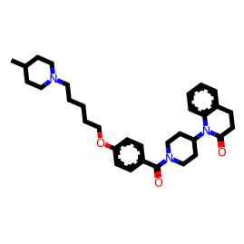 CC1CCN(CCCCCOc2ccc(C(=O)N3CCC(N4C(=O)CCc5ccccc54)CC3)cc2)CC1